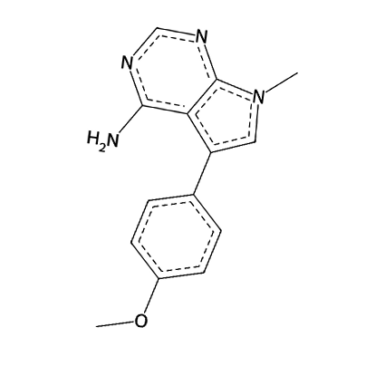 COc1ccc(-c2cn(C)c3ncnc(N)c23)cc1